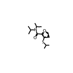 CC(C)Sc1ccoc1C(=O)N(C(C)C)C(C)C